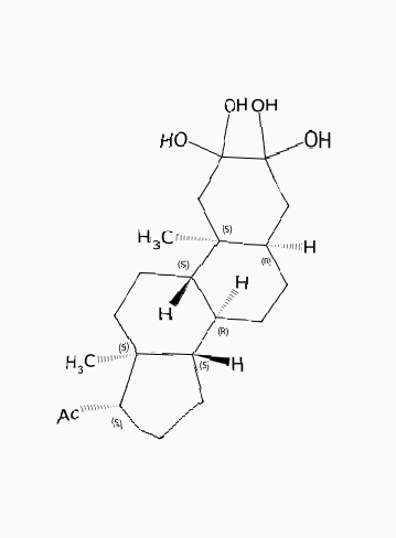 CC(=O)[C@H]1CC[C@H]2[C@@H]3CC[C@@H]4CC(O)(O)C(O)(O)C[C@]4(C)[C@H]3CC[C@]12C